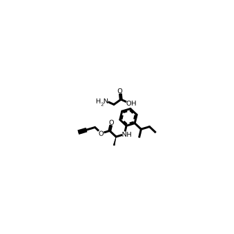 C#CCOC(=O)[C@H](C)Nc1ccccc1C(C)CC.NCC(=O)O